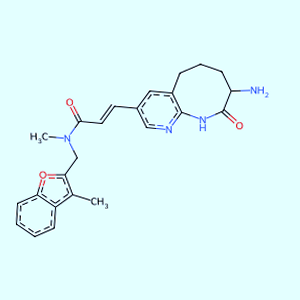 Cc1c(CN(C)C(=O)/C=C/c2cnc3c(c2)CCCC(N)C(=O)N3)oc2ccccc12